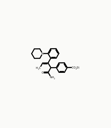 CC=C(c1ccccc1N1CCCCC1)C(C(N)=O)c1ccc(C(=O)OCC)cc1